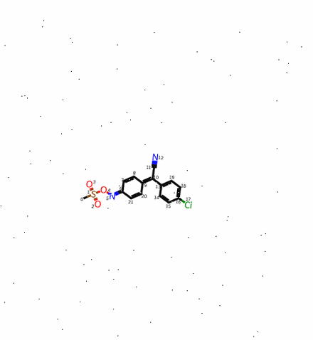 CS(=O)(=O)ON=C1C=CC(=C(C#N)c2ccc(Cl)cc2)C=C1